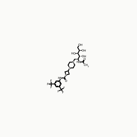 CC(=O)N[C@@H](CN1CCN(C2CN(C(=O)Nc3cc(C(F)(F)F)cc(C(F)(F)F)c3)C2)CC1)[C@@H](O)[C@@H](O)[C@H](O)CO